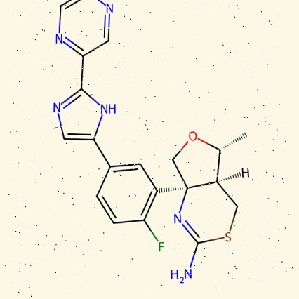 C[C@H]1OC[C@]2(c3cc(-c4cnc(-c5cnccn5)[nH]4)ccc3F)N=C(N)SC[C@H]12